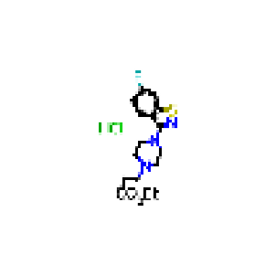 CCOC(=O)CCN1CCN(c2nsc3cc(F)ccc23)CC1.Cl